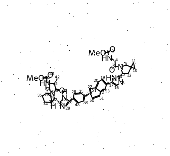 COC(=O)NCC(=O)N1CC2(CC2)C[C@H]1c1ncc(-c2ccc3cc(-c4ccc(-c5cnc([C@@H]6[C@H]7CC[C@H](C7)N6C(=O)[C@H](C)NC(=O)OC)[nH]5)cc4)ccc3c2)[nH]1